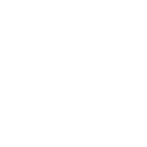 CC#CCCC1=Nc2ccccc2C1